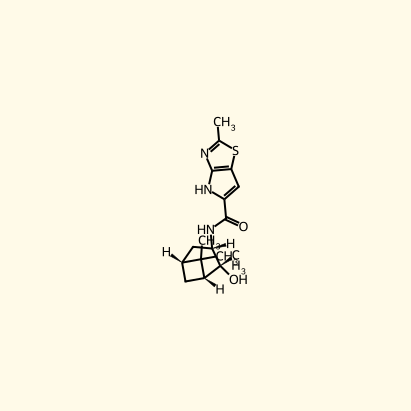 Cc1nc2[nH]c(C(=O)N[C@H]3C[C@H]4C[C@H](C4(C)C)[C@@]3(C)O)cc2s1